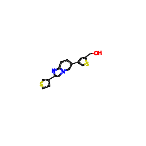 OCc1cc(-c2ccc3nc(-c4ccsc4)cn3c2)cs1